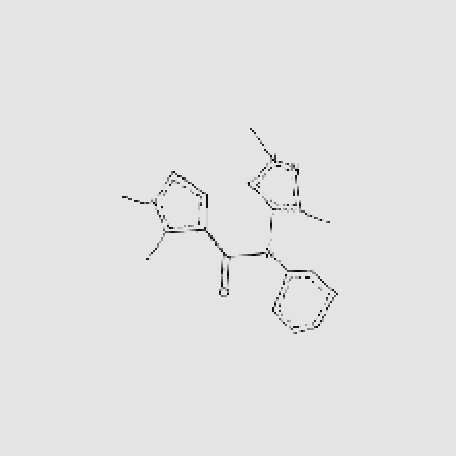 Cc1nn(C)cc1N(C(=O)c1ccn(C)c1C)c1ccccc1